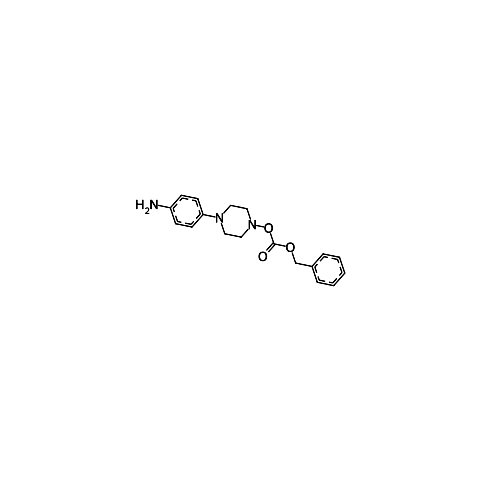 Nc1ccc(N2CCN(OC(=O)OCc3ccccc3)CC2)cc1